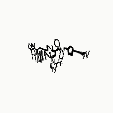 CN1CCN(C2=CC(C(=O)NCc3ccc(C#N)cc3)=N/C(=C/C(=N)c3ccnn3C)N2)C(CF)C1